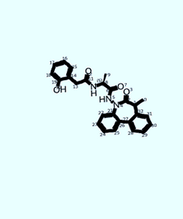 CC1C(=O)N(NC(=O)[C@H](C)NC(=O)Cc2ccccc2O)c2ccccc2-c2ccccc21